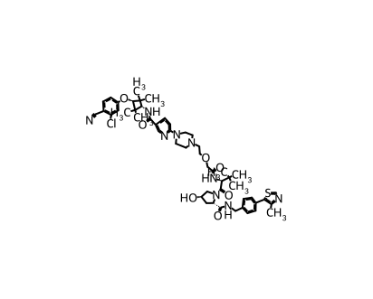 Cc1ncsc1-c1ccc(CNC(=O)[C@@H]2C[C@@H](O)CN2C(=O)[C@@H](NC(=O)COCCN2CCN(c3ccc(C(=O)N[C@H]4C(C)(C)[C@H](Oc5ccc(C#N)c(Cl)c5)C4(C)C)cn3)CC2)C(C)(C)C)cc1